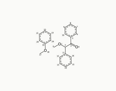 COC(C(=O)c1ccccc1)c1ccccc1.COc1ccccc1